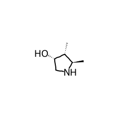 C[C@H]1[C@@H](O)CN[C@@H]1C